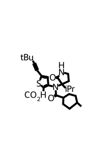 CC1CCC(C(=O)N(c2cc(C#CC(C)(C)C)sc2C(=O)O)C2(C(C)C)CCNC2=O)CC1